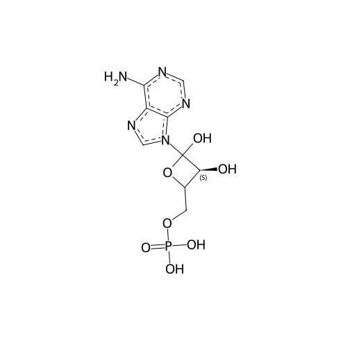 Nc1ncnc2c1ncn2C1(O)OC(COP(=O)(O)O)[C@@H]1O